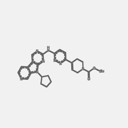 CC(C)(C)OC(=O)N1CC=C(c2ccc(Nc3ncc4c5ccncc5n(C5CCCC5)c4n3)nn2)CC1